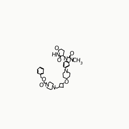 Cn1c(=O)n(C2CCC(=O)NC2=O)c2ccc(N3CCC(OC4CC(CN5CCN(C(=O)OCc6ccccc6)CC5)C4)CC3)cc21